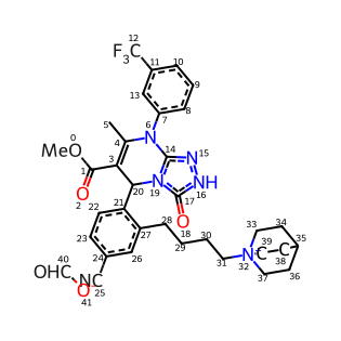 COC(=O)C1=C(C)N(c2cccc(C(F)(F)F)c2)c2n[nH]c(=O)n2C1c1ccc(C#N)cc1CCCC[N+]12CCC(CC1)CC2.O=C[O-]